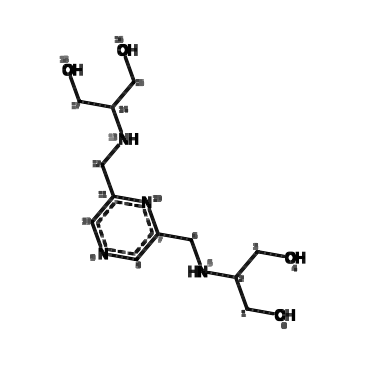 OCC(CO)NCc1cncc(CNC(CO)CO)n1